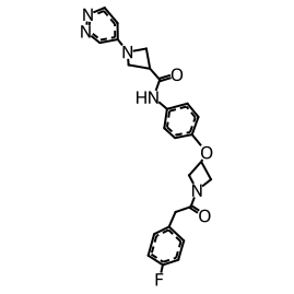 O=C(Nc1ccc(OC2CN(C(=O)Cc3ccc(F)cc3)C2)cc1)C1CN(c2ccnnc2)C1